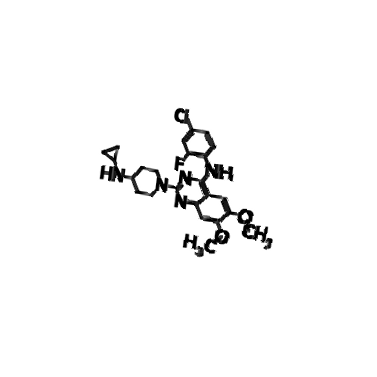 COc1cc2nc(N3CCC(NC4CC4)CC3)nc(Nc3ccc(Cl)cc3F)c2cc1OC